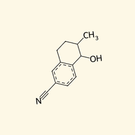 CC1CCc2cc(C#N)ccc2C1O